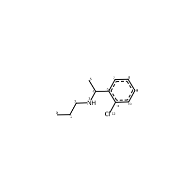 CCCNC(C)c1ccccc1Cl